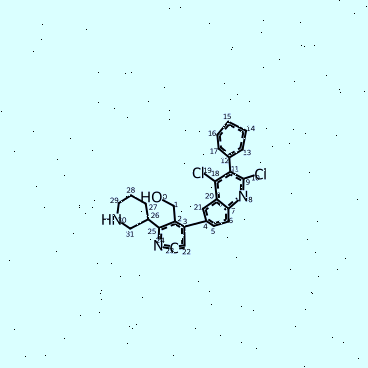 OCc1c(-c2ccc3nc(Cl)c(-c4ccccc4)c(Cl)c3c2)ccnc1C1CCCNC1